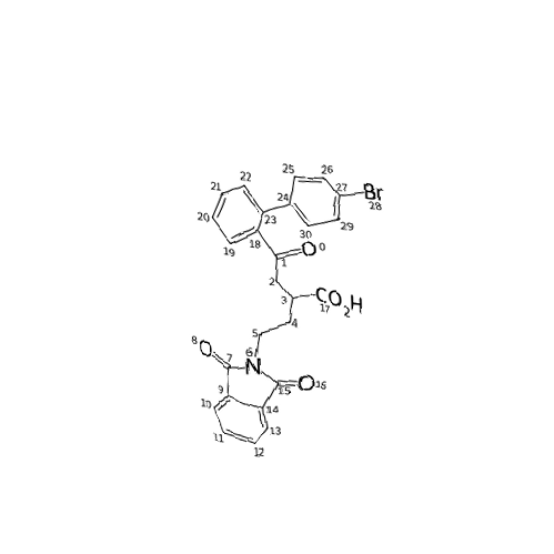 O=C(CC(CCN1C(=O)c2ccccc2C1=O)C(=O)O)c1ccccc1-c1ccc(Br)cc1